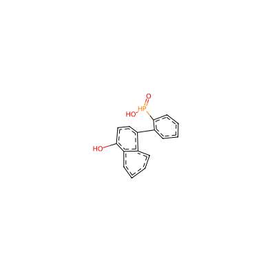 O=[PH](O)c1ccccc1-c1ccc(O)c2ccccc12